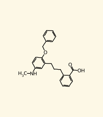 CNc1ccc(OCc2ccccc2)c(CCCc2ccccc2C(=O)O)c1